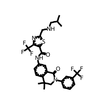 CC(C)CNCc1nc(C(F)(F)F)c(C(=O)Nc2ccc3c(c2)C(=O)N(c2cccc(C(F)(F)F)c2)CC3(C)C)s1